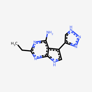 CCc1nc(N)c2c(-c3c[nH]nn3)c[nH]c2n1